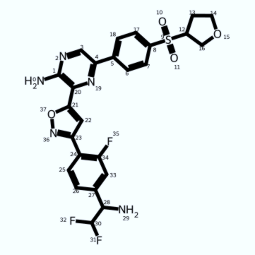 Nc1ncc(-c2ccc(S(=O)(=O)C3CCOC3)cc2)nc1-c1cc(-c2ccc(C(N)C(F)F)cc2F)no1